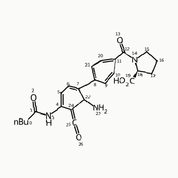 CCCCC(=O)NC1=CC=C(c2ccc(C(=O)N3CCC[C@H]3C(=O)O)cc2)C(N)C1=C=O